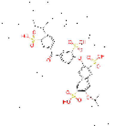 CCC(C)c1ccc(C(=O)c2ccc(Oc3cc4cc(S(=O)(=O)O)c(OC(C)C)cc4cc3S(=O)(=O)O)c(S(=O)(=O)O)c2)cc1S(=O)(=O)O